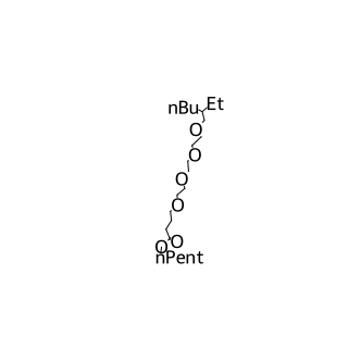 CCCCCOC(=O)CCCOCCOCCOCCOCC(CC)CCCC